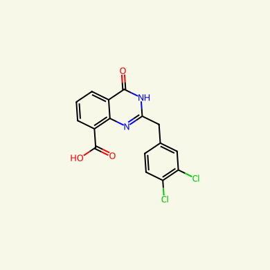 O=C(O)c1cccc2c(=O)[nH]c(Cc3ccc(Cl)c(Cl)c3)nc12